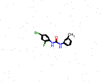 Cc1cccc(NC(=O)Nc2ccc(Br)cc2F)c1